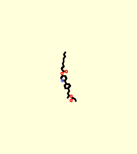 CCCCCC/C=C/C(=O)Oc1ccc(-c2ccc(CCC(C)OC(=O)CC)cc2)nc1